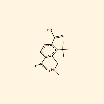 CNCc1c([N+](=O)[O-])ccc(C(=O)O)c1C(C)(C)C